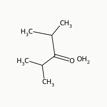 CC(C)C(=O)C(C)C.O